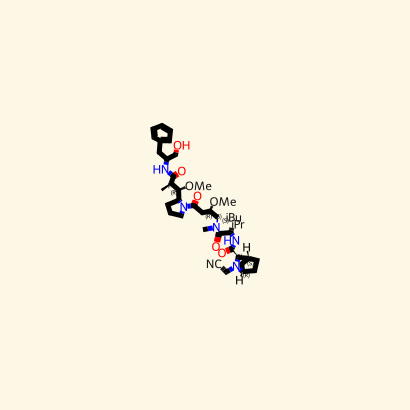 CC[C@H](C)[C@@H]([C@@H](CC(=O)N1CCCC1[C@H](OC)[C@@H](C)C(=O)NC(CO)Cc1ccccc1)OC)N(C)C(=O)C(NC(=O)[C@@H]1[C@H]2CC[C@H](C2)N1CC#N)C(C)C